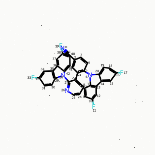 N#Cc1ccc(-n2c3ccc(F)cc3c3cc(F)ccc32)c(-c2cccnc2-n2c3ccc(F)cc3c3cc(F)ccc32)c1